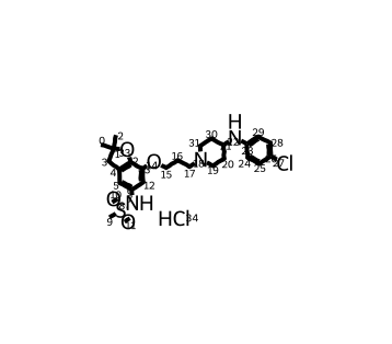 CC1(C)Cc2cc(NS(C)(=O)=O)cc(OCCCN3CCC(Nc4ccc(Cl)cc4)CC3)c2O1.Cl